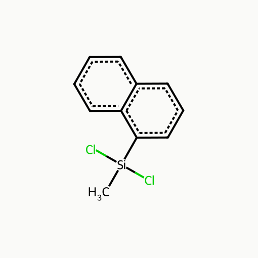 C[Si](Cl)(Cl)c1cccc2ccccc12